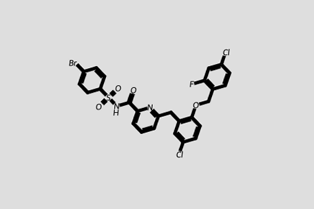 O=C(NS(=O)(=O)C1C=CC(Br)=CC1)c1cccc(Cc2cc(Cl)ccc2OCc2ccc(Cl)cc2F)n1